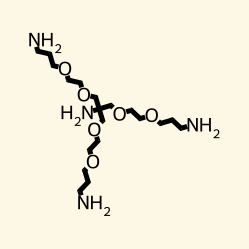 NCCCOCCOCC(N)(COCCOCCCN)COCCOCCCN